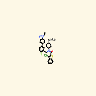 C=CNc1ccc(-c2ccc(F)c(CN(C(=O)c3sc4ccccc4c3Cl)[C@H]3CC[C@H](NC)CC3)c2)cc1